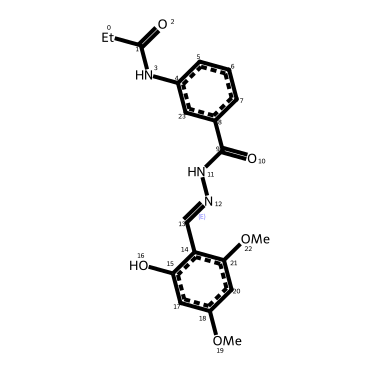 CCC(=O)Nc1cccc(C(=O)N/N=C/c2c(O)cc(OC)cc2OC)c1